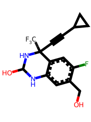 OCc1cc2c(cc1F)C(C#CC1CC1)(C(F)(F)F)NC(O)N2